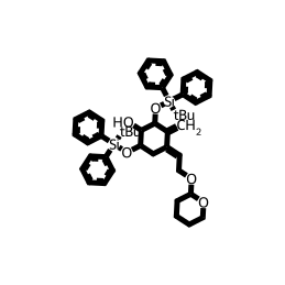 C=C1C(=CCOC2CCCCO2)CC(O[Si](c2ccccc2)(c2ccccc2)C(C)(C)C)C(O)C1O[Si](c1ccccc1)(c1ccccc1)C(C)(C)C